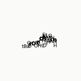 CCn1c(CNC(=O)c2nc3cc[nH]c3nc2N)[n+](CC)c2ccc(-c3cnn(C4CCN(C(=O)OC(C)(C)C)CC4)c3)cc21.O=C[O-]